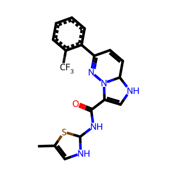 CC1=CNC(NC(=O)C2=CNC3C=CC(c4ccccc4C(F)(F)F)=NN23)S1